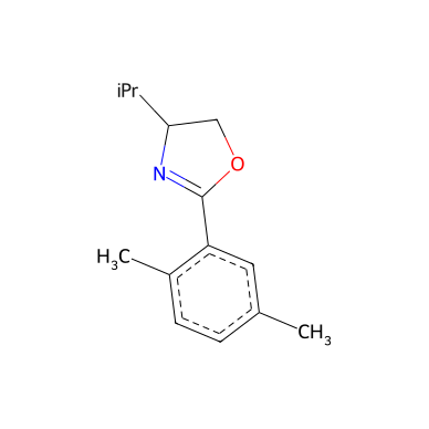 Cc1ccc(C)c(C2=NC(C(C)C)CO2)c1